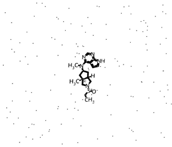 CC[S+]([O-])N1C[C@H]2CC(N(C)c3ncnc4[nH]ccc34)C[C@@]2(C)C1